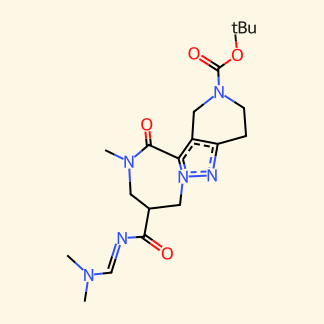 CN(C)/C=N/C(=O)C1CN(C)C(=O)c2c3c(nn2C1)CCN(C(=O)OC(C)(C)C)C3